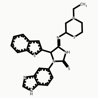 CCN1CCSC(N=C2NC(=S)N(c3ccc4[nH]cnc4c3)C2c2cc3ccccc3s2)C1